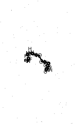 Cc1nc2c(F)cc(-c3nc(Nc4ccc(N5CCN(C(=O)CCCCC(=O)N6CCN(c7cccc8c7C(=O)N(C7CCC(=O)NC7=O)C8=O)CC6)CC5)cn4)ncc3F)cc2n1C(C)C